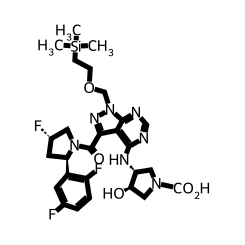 C[Si](C)(C)CCOCn1nc(C(=O)N2C[C@@H](F)C[C@@H]2c2cc(F)ccc2F)c2c(N[C@@H]3CN(C(=O)O)C[C@H]3O)ncnc21